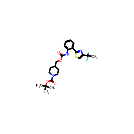 CC(C)(C)OC(=O)N1CCC(COC(=O)Nc2ccccc2-c2nc(C(C)(F)F)cs2)CC1